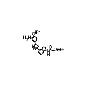 COCC(=O)N[C@@H]1CCc2c(-c3nnc(-c4ccc(OC(C)C)c(N)c4)s3)cccc21